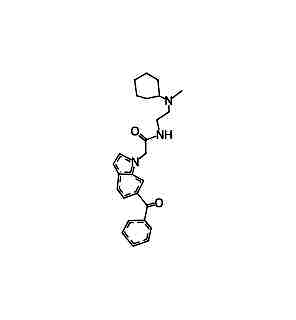 CN(CCNC(=O)Cn1ccc2ccc(C(=O)c3ccccc3)cc21)C1CCCCC1